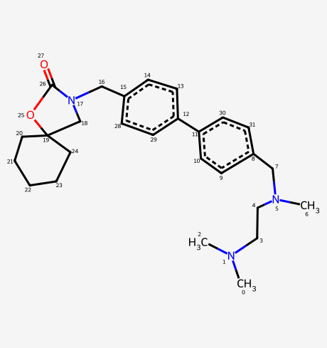 CN(C)CCN(C)Cc1ccc(-c2ccc(CN3CC4(CCCCC4)OC3=O)cc2)cc1